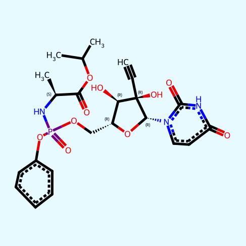 C#C[C@@]1(O)[C@H](O)[C@@H](COP(=O)(N[C@@H](C)C(=O)OC(C)C)Oc2ccccc2)O[C@H]1n1ccc(=O)[nH]c1=O